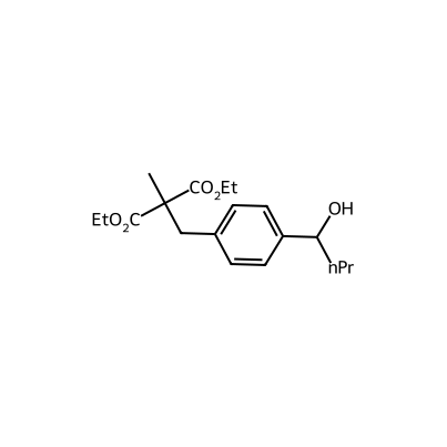 CCCC(O)c1ccc(CC(C)(C(=O)OCC)C(=O)OCC)cc1